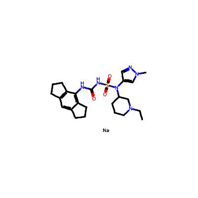 CCN1CCCC(N(c2cnn(C)c2)S(=O)(=O)NC(=O)Nc2c3c(cc4c2CCC4)CCC3)C1.[Na]